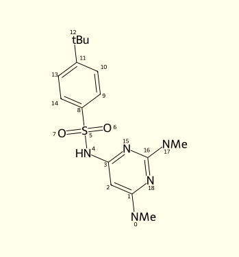 CNc1cc(NS(=O)(=O)c2ccc(C(C)(C)C)cc2)nc(NC)n1